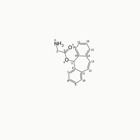 NCC(=O)OC1c2ccccc2C=Cc2ccccc21